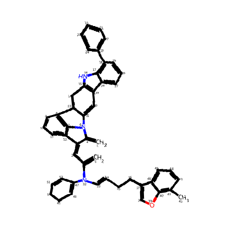 C=C(/C=c1\c(=C)n2c3c(cccc13)C1Cc3[nH]c4c(-c5ccccc5)cccc4c3C=C12)N(/C=C/CCc1coc2c(C)cccc12)C1=CCCC=C1